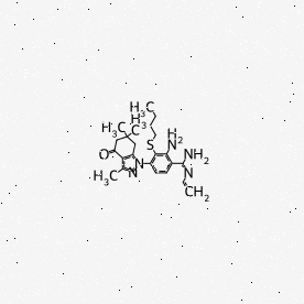 C=C/N=C(/N)c1ccc(-n2nc(C)c3c2CC(C)(C)CC3=O)c(SCCCC)c1N